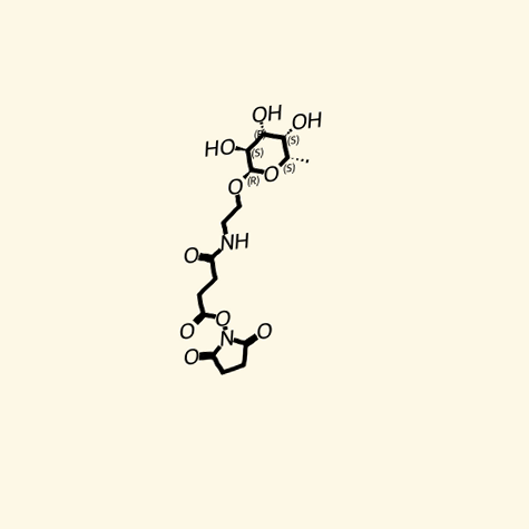 C[C@@H]1O[C@@H](OCCNC(=O)CCC(=O)ON2C(=O)CCC2=O)[C@@H](O)[C@H](O)[C@@H]1O